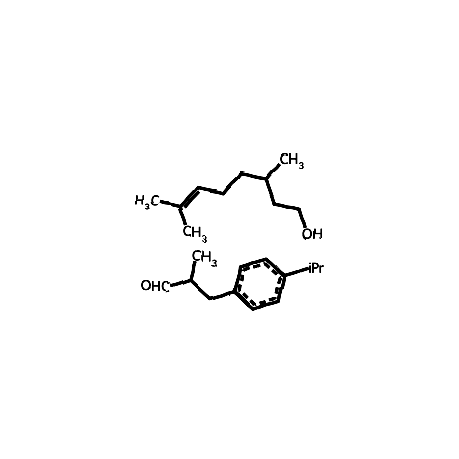 CC(C)=CCCC(C)CCO.CC(C=O)Cc1ccc(C(C)C)cc1